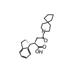 O=C(O)[C@H](CC(=O)N1CCC2(CCCC2)CC1)[C@H]1CCc2ccccc21